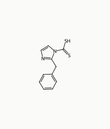 S=C(S)n1ccnc1Cc1ccccc1